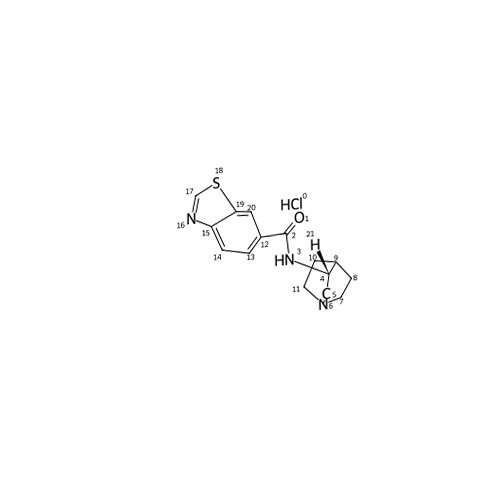 Cl.O=C(N[C@H]1CN2CCC1CC2)c1ccc2ncsc2c1